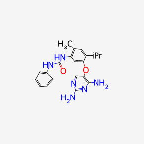 Cc1cc(C(C)C)c(Oc2cnc(N)nc2N)cc1NC(=O)Nc1ccccc1